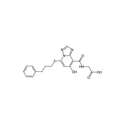 O=C(O)CNC(=O)c1c(O)cc(SCCCc2ccccc2)n2ncnc12